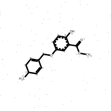 COC(=O)c1cc(OCC2=CCC(C)C=C2)ccc1O